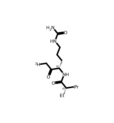 [2H]CC(=O)[C@H](CCCNC(N)=O)NC(=O)[C@@H](CC)C(C)C